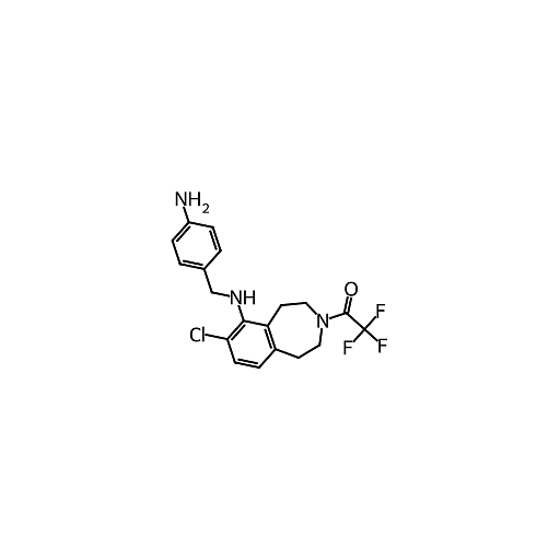 Nc1ccc(CNc2c(Cl)ccc3c2CCN(C(=O)C(F)(F)F)CC3)cc1